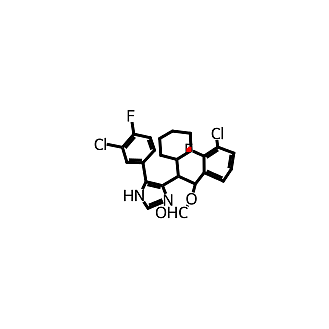 O=COC(c1cccc(Cl)c1F)C(c1nc[nH]c1-c1ccc(F)c(Cl)c1)C1CCCCC1